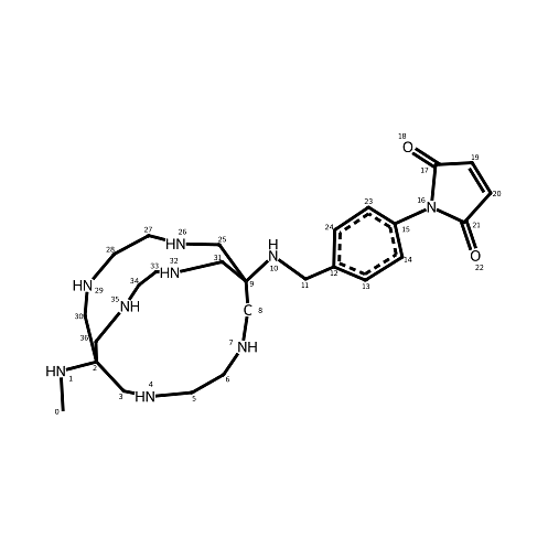 CNC12CNCCNCC(NCc3ccc(N4C(=O)C=CC4=O)cc3)(CNCCNC1)CNCCNC2